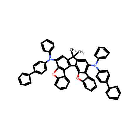 CC1(C)c2cc(N(c3ccccc3)c3ccc(-c4ccccc4)cc3)c3c(oc4ccccc43)c2-c2c1cc(N(c1ccccc1)c1ccc(-c3ccccc3)cc1)c1oc3ccccc3c21